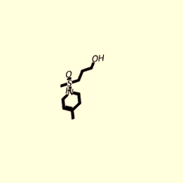 CC1=CCN([SH](C)(=O)CCCO)CC1